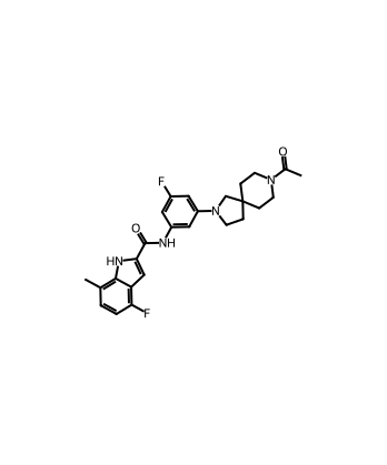 CC(=O)N1CCC2(CC1)CCN(c1cc(F)cc(NC(=O)c3cc4c(F)ccc(C)c4[nH]3)c1)C2